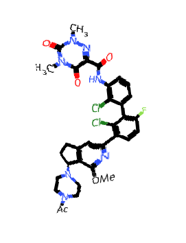 COc1nc(-c2ccc(F)c(-c3cccc(NC(=O)c4nn(C)c(=O)n(C)c4=O)c3Cl)c2Cl)cc2c1[C@@H](N1CCN(C(C)=O)CC1)CC2